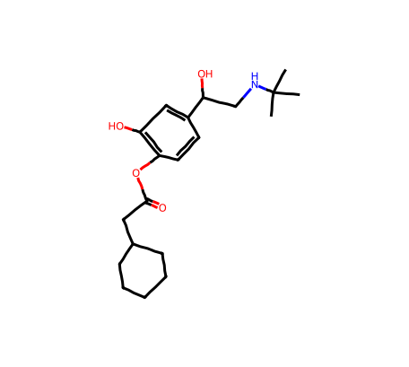 CC(C)(C)NCC(O)c1ccc(OC(=O)CC2CCCCC2)c(O)c1